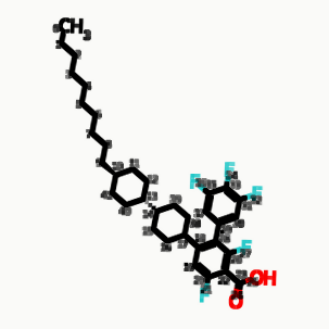 CCCCCCCCCC[C@H]1CC[C@H](C2CCC(c3cc(F)c(C(=O)O)c(F)c3-c3cc(F)c(F)c(F)c3)CC2)CC1